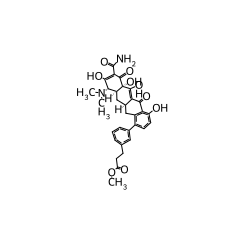 COC(=O)CCc1cccc(-c2ccc(O)c3c2C[C@H]2C[C@H]4[C@H](N(C)C)C(O)=C(C(N)=O)C(=O)[C@@]4(O)C(O)=C2C3=O)c1